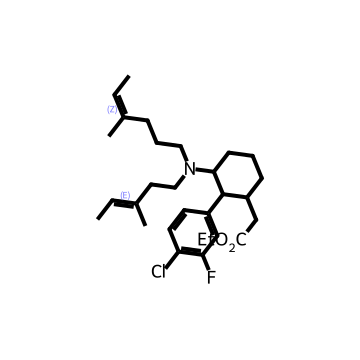 C/C=C(/C)CCCN(CC/C(C)=C/C)C1CCCC(CC(=O)OCC)C1c1ccc(Cl)c(F)c1